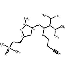 B[C@@H]1O[C@H](CCP(C)(C)=O)C[C@@H]1OP(OCCC#N)N(C(C)C)C(C)C